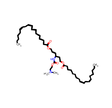 CCCCC/C=C\C/C=C\CCCCCCCC(=O)OCCCC(CCOC(=O)CCCCCCC/C=C\C/C=C\CCCCC)NC(=O)OCCN(C)C